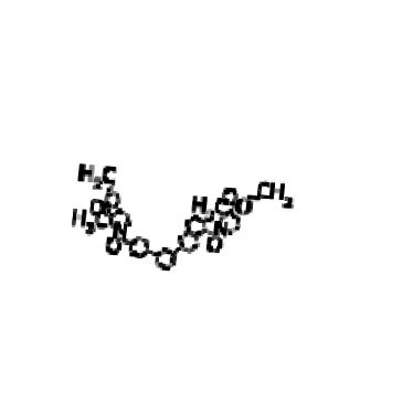 C=CCOC(=O)C1(C)CCCN(C(=O)c2ccc(-c3cccc(-c4ccc5c(C(=O)N6CCCC(C)(C(=O)OCC=C)C6)cccc5c4)c3)cc2)C1